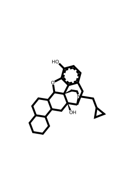 Oc1ccc2c3c1OC1C4CCC5CCCCC5C4C[C@@]4(O)C(C2)N(CC2CC2)CC[C@]314